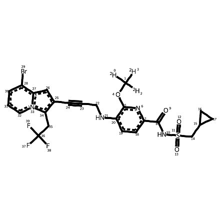 [2H]C([2H])([2H])Oc1nc(C(=O)NS(=O)(=O)CC2CC2)ccc1NCC#Cc1cc2c(Br)cccn2c1CC(F)(F)F